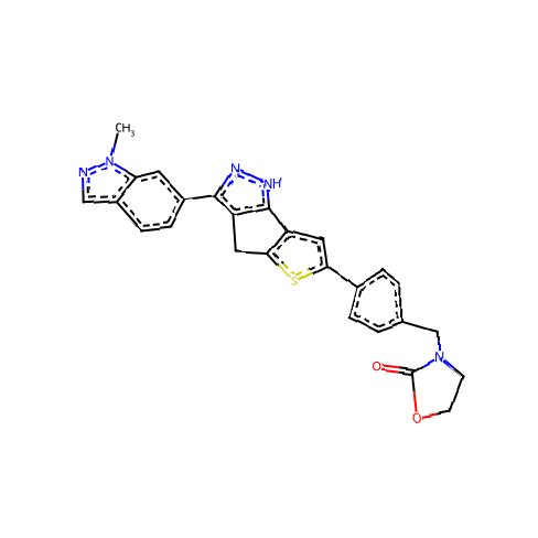 Cn1ncc2ccc(-c3n[nH]c4c3Cc3sc(-c5ccc(CN6CCOC6=O)cc5)cc3-4)cc21